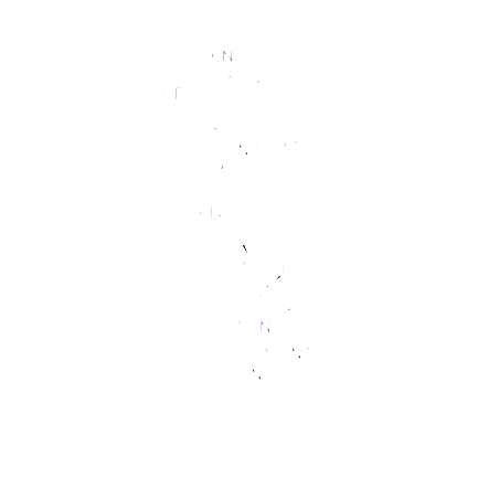 CCc1cnc(N2CC3[C@@H](COc4cc(=O)n(-c5ccc(C#N)c(F)c5)cc4Cl)[C@@H]3C2)nc1